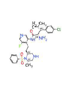 CC(C)[C@H](c1ccc(Cl)cc1)[C@H](N)C(=O)Nc1cncc(F)c1CC[C@H]1CNC[C@H](C)N1S(=O)(=O)c1ccccc1